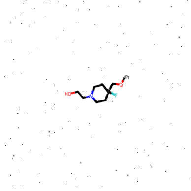 CC(C)OCC1(F)CCN(CCO)CC1